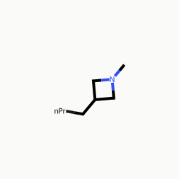 CCCCC1CN(C)C1